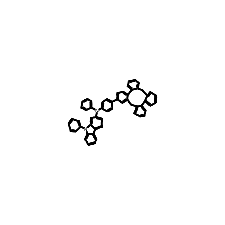 c1ccc(N(c2ccc(-c3ccc4c(c3)Cc3ccccc3-c3ccccc3Cc3ccccc3-4)cc2)c2ccc3c4ccccc4n(-c4ccccc4)c3c2)cc1